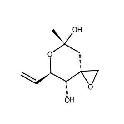 C=C[C@H]1O[C@](C)(O)C[C@@]2(CO2)[C@@H]1O